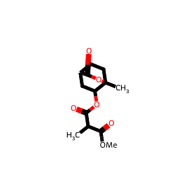 COC(=O)C(C)C(=O)OC1CC2CCC1(C)OC2=O